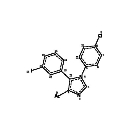 CC(=O)c1ncn(-c2ccc(Cl)cc2)c1-c1cccc(I)c1